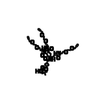 C#CCOCCOCCNC(=O)CCC(CCC(=O)NCCOCCOCC#C)(CCC(=O)NCCOCCOCC#C)NC(=O)[C@H]1C[C@H](OP(=O)(O)C(C)(C)C)C1